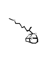 COCCCCCC(C)C12OC3CC(CC(C3)O1)O2